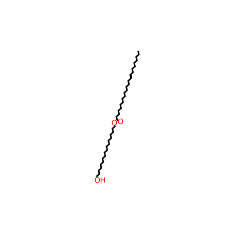 CCCCCCCCC=CCCCCCCCCCCCCCC(=O)OCCCCCCCCCCCCCCCCCCO